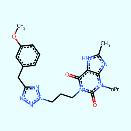 CCCn1c(=O)n(CCCn2nnc(Cc3cccc(OC(F)(F)F)c3)n2)c(=O)c2[nH]c(C)nc21